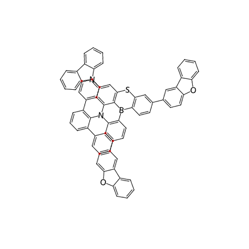 c1ccc(-c2cccc(-c3ccccc3)c2N2c3cc(-c4ccc5oc6ccccc6c5c4)ccc3B3c4ccc(-c5ccc6oc7ccccc7c6c5)cc4Sc4cc(-n5c6ccccc6c6ccccc65)cc2c43)cc1